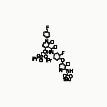 CC(C)OP(=O)(COc1ccn(-c2ccc(F)cc2)c(=O)c1C(=O)Nc1ccc(Oc2ccnc(NC(=O)OC(C)(C)C)c2Cl)c(F)c1)OC(C)C